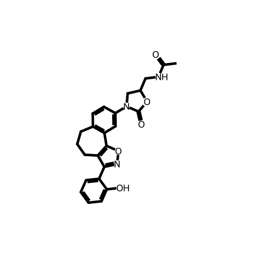 CC(=O)NCC1CN(c2ccc3c(c2)-c2onc(-c4ccccc4O)c2CCC3)C(=O)O1